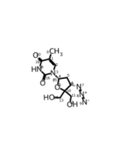 Cc1cn([C@H]2C[C@H](N=[N+]=[N-])C(CO)(CO)O2)c(=O)[nH]c1=O